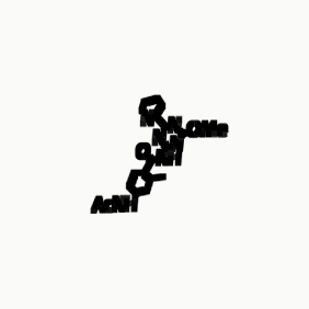 COc1nc(NC(=O)c2ccc(NC(C)=O)cc2C)nc(-c2ccccn2)n1